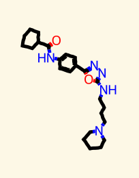 O=C(Nc1ccc(-c2nnc(NCCCCN3CCCCC3)o2)cc1)C1CCCCC1